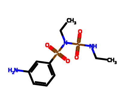 CCNS(=O)(=O)N(CC)S(=O)(=O)c1cccc(N)c1